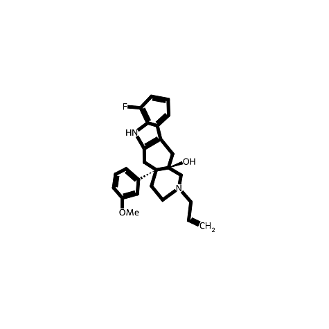 C=CCN1CC[C@@]2(c3cccc(OC)c3)Cc3[nH]c4c(F)cccc4c3C[C@]2(O)C1